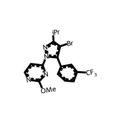 COc1nccc(-n2nc(C(C)C)c(Br)c2-c2cccc(C(F)(F)F)c2)n1